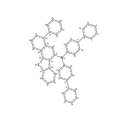 c1ccc(-c2ccc(N(c3ccc(-c4ccccc4)cc3)c3cc4c(-c5ccccc5)cccc4c4sc5ccccc5c34)cc2)cc1